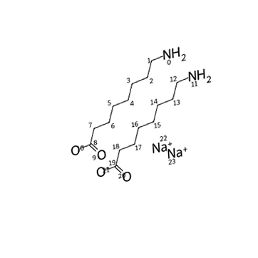 NCCCCCCCC(=O)[O-].NCCCCCCCC(=O)[O-].[Na+].[Na+]